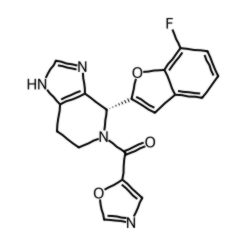 O=C(c1cnco1)N1CCc2[nH]cnc2[C@@H]1c1cc2cccc(F)c2o1